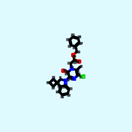 Cc1c(Cl)nc(NCC2(c3ccccc3)CCC2)c(=O)n1CC(=O)OCc1ccccc1